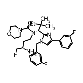 CCC(C)(C)[C@H](c1nc(-c2cccc(F)c2)cn1Cc1cccc(F)c1)N(CC[C@@H](N)CF)C(=O)N1CCOCC1